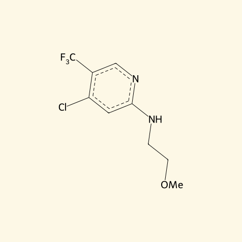 COCCNc1cc(Cl)c(C(F)(F)F)cn1